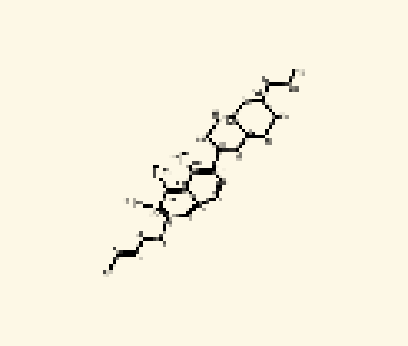 CC=CCCc1cc2ccc(C3CCC4CC(CCC)CCC4C3)c(F)c2c(F)c1F